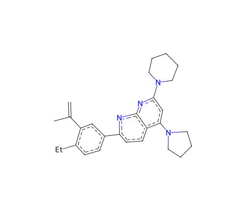 C=C(C)c1cc(-c2ccc3c(N4CCCC4)cc(N4CCCCC4)nc3n2)ccc1CC